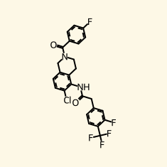 O=C(Cc1ccc(C(F)(F)F)c(F)c1)Nc1c(Cl)ccc2c1CCN(C(=O)c1ccc(F)cc1)C2